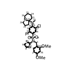 COc1ccc(CN(c2nccs2)S(=O)(=O)c2cc(Cl)c(N(C)[C@]34CCCCN3CCC4)cc2F)c(OC)c1